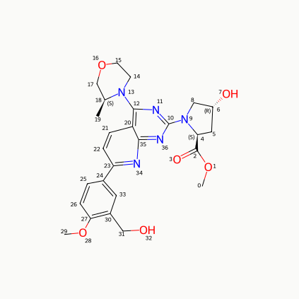 COC(=O)[C@@H]1C[C@@H](O)CN1c1nc(N2CCOC[C@@H]2C)c2ccc(-c3ccc(OC)c(CO)c3)nc2n1